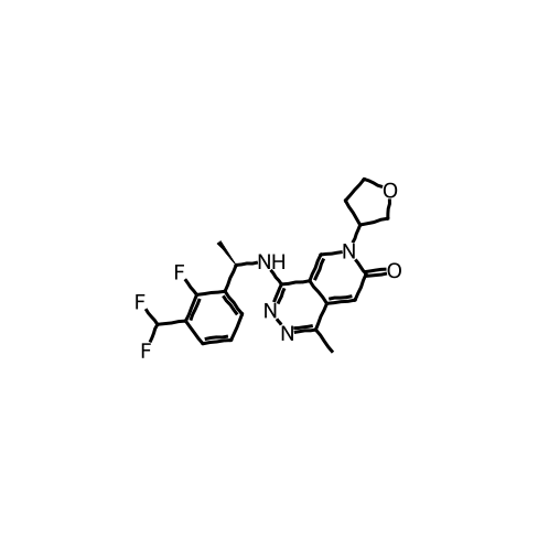 Cc1nnc(N[C@H](C)c2cccc(C(F)F)c2F)c2cn(C3CCOC3)c(=O)cc12